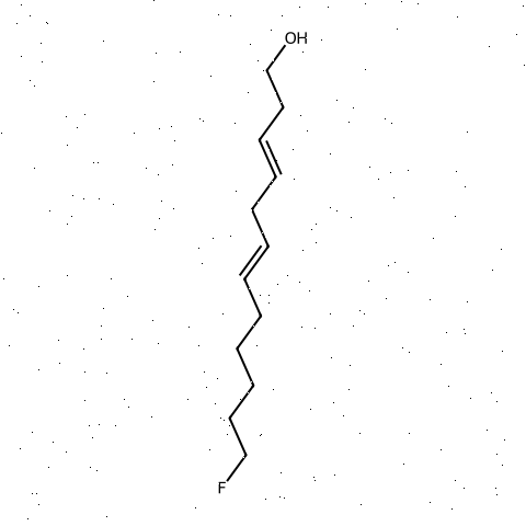 OCCC=CCC=CCCCCCF